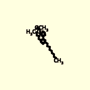 CCCCCCCCCCc1ccc(CCCC(C)OC(C)=O)c(-c2cccnn2)c1